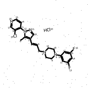 Cc1c(C=CCN2CCN(c3cc(F)cc(F)c3)CC2)cnn1-c1ccncc1Cl.Cl